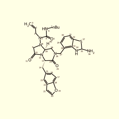 C=CCN(C(=O)NCCCC)N1CC(=O)N2[C@@H](Cc3ccc4occc4c3)C(=O)N(Cc3cccc4c3NC(N)S4)C[C@@H]21